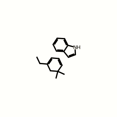 CCC1=CC=CC(C)(C)C1.c1ccc2[nH]ccc2c1